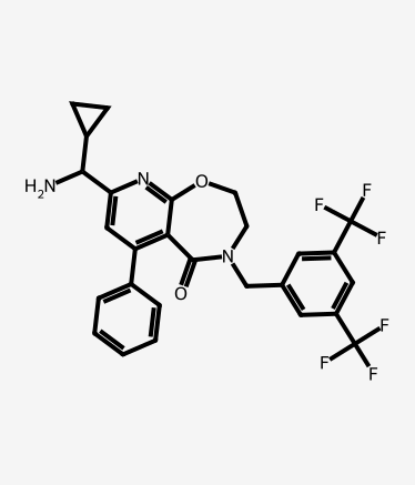 NC(c1cc(-c2ccccc2)c2c(n1)OCCN(Cc1cc(C(F)(F)F)cc(C(F)(F)F)c1)C2=O)C1CC1